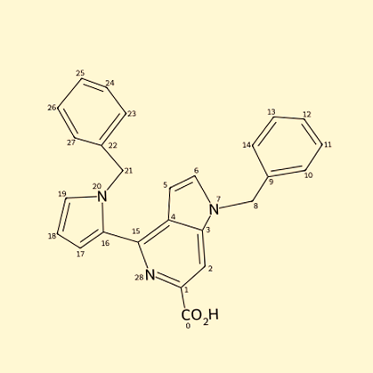 O=C(O)c1cc2c(ccn2Cc2ccccc2)c(-c2cccn2Cc2ccccc2)n1